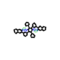 Clc1cc2ccccc2cc1-c1cccc2c1[nH]c1c(-c3ccccc3)c3c([nH]c4c(-c5cc6ccccc6cc5Cl)cccc43)c(-c3ccccc3)c12